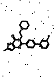 Cc1cc2nc(-c3ccc(-c4cccc(F)c4)cc3)n(CCN3CCCCC3)c(=O)c2s1